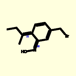 CC/C(C)=C1\C=CC(CBr)=C\C1=N\O